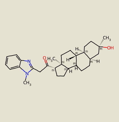 Cn1c(CC(=O)[C@H]2CC[C@H]3[C@@H]4CC[C@@H]5C[C@](C)(O)CC[C@@H]5[C@H]4CC[C@]23C)nc2ccccc21